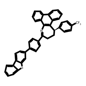 FC(F)(F)c1ccc([C@H]2CCC(c3ccc(-c4ccc5c(c4)sc4ccccc45)cc3)=Nc3c2c2ccccc2c2ccccc32)cc1